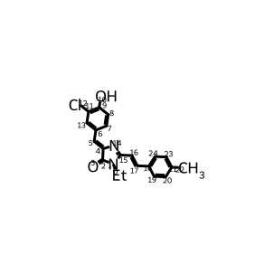 CCN1C(=O)/C(=C/c2ccc(O)c(Cl)c2)N=C1/C=C/c1ccc(C)cc1